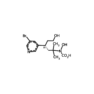 CC(C)(C[C@@H](CCO)c1cncc(Br)c1)N(O)C(=O)O